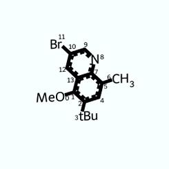 COc1c(C(C)(C)C)cc(C)c2ncc(Br)cc12